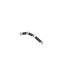 O=S=C=S